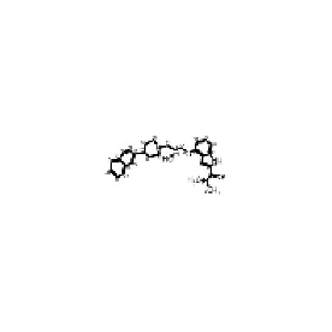 CN(C)C(=O)c1cc2c(OC[C@H](O)CN3CCC(c4ccc5ccccc5c4)CC3)cccc2[nH]1